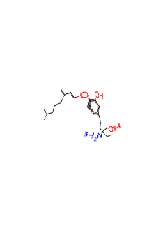 CC[C@@](N)(CO)CCc1ccc(OCCC(C)CCCC(C)C)c(O)c1